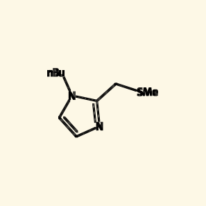 CCCCn1ccnc1CSC